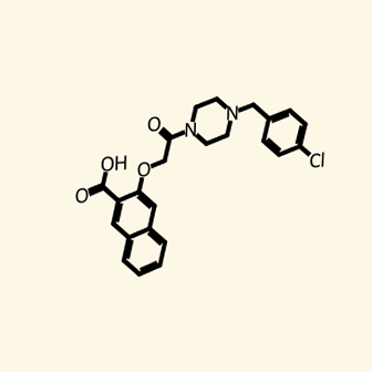 O=C(O)c1cc2ccccc2cc1OCC(=O)N1CCN(Cc2ccc(Cl)cc2)CC1